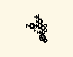 CN(C)c1ccc2c(=O)c(C(=O)NC3(C)CC4CC5C4CC(C3)C5(F)F)cn(-c3ccc(F)cc3F)c2n1